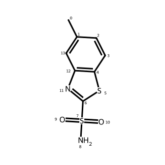 Cc1ccc2sc(S(N)(=O)=O)nc2c1